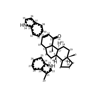 C[C@@]12CCC[C@H]1[C@@H]1CCC3CC=CC(=O)[C@]3(C)[C@H]1CC2.Cc1c[nH]c2ccccc12.c1ccc2[nH]ccc2c1